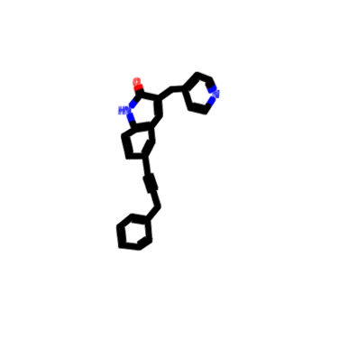 O=c1[nH]c2ccc(C#CCc3ccccc3)cc2cc1Cc1ccncc1